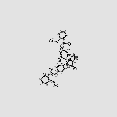 CC(=O)Sc1ccccc1C(=O)Oc1ccc2c(c1)Oc1cc(OC(=O)c3ccccc3SC(C)=O)ccc1C21OC(=O)c2ccccc21